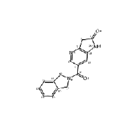 O=C1Cc2ncc(C(=O)N3Cc4ccccc4C3)cc2N1